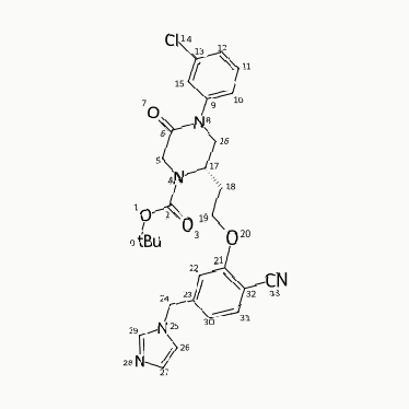 CC(C)(C)OC(=O)N1CC(=O)N(c2cccc(Cl)c2)C[C@@H]1CCOc1cc(Cn2ccnc2)ccc1C#N